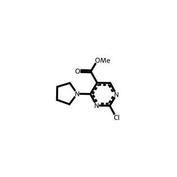 COC(=O)c1cnc(Cl)nc1N1CCCC1